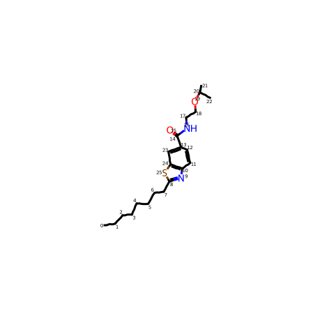 CCCCCCCCc1nc2ccc(C(=O)NCCOC(C)C)cc2s1